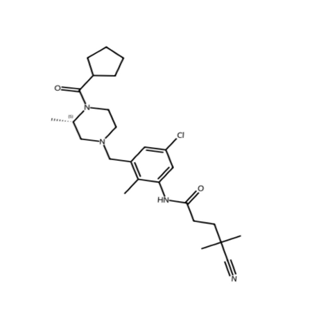 Cc1c(CN2CCN(C(=O)C3CCCC3)[C@@H](C)C2)cc(Cl)cc1NC(=O)CCC(C)(C)C#N